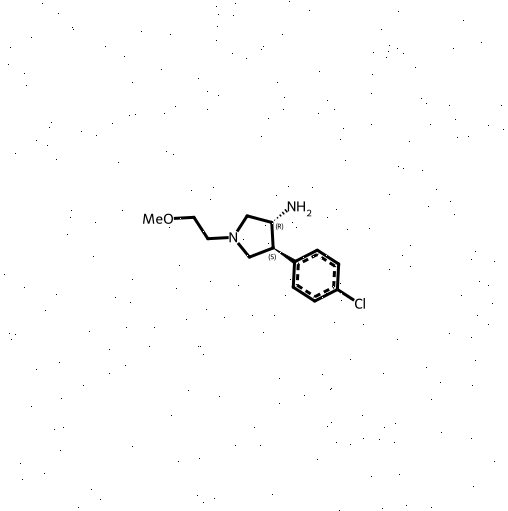 COCCN1C[C@H](c2ccc(Cl)cc2)[C@@H](N)C1